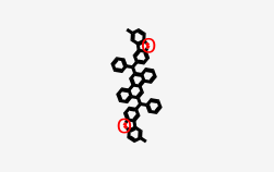 Cc1ccc2oc3ccc(C(c4ccccc4)c4cc5c6ccccc6c(C(c6ccccc6)c6ccc7oc8ccc(C)cc8c7c6)cc5c5ccccc45)cc3c2c1